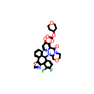 O=C(Oc1c2n(ccc1=O)N(C1c3ccccc3-c3scnc3-c3c1ccc(F)c3F)C1COCCN1C2=O)OC1CCOCC1